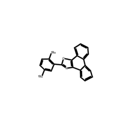 CC(C)(C)c1ccc(C(C)(C)C)c(-c2nc3c4ccccc4c4ccccc4c3o2)c1